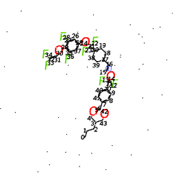 CCCC1COC(c2ccc(C(F)(F)O/C=C/C3CCC(C(F)(F)Oc4cc(F)c(OC=C(F)F)c(F)c4)CC3)cc2)OC1